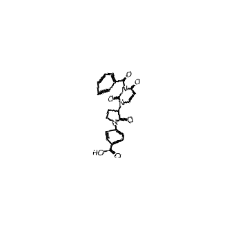 O=C(O)c1ccc(N2CCC(n3ccc(=O)n(C(=O)c4ccccc4)c3=O)C2=O)cc1